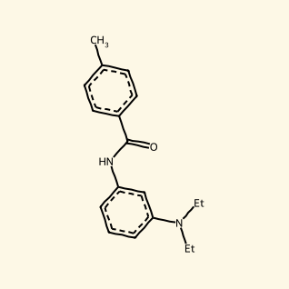 CCN(CC)c1cccc(NC(=O)c2ccc(C)cc2)c1